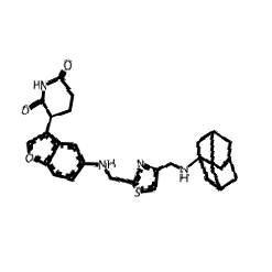 O=C1CCC(c2coc3ccc(NCc4nc(CNC56CC7CC(CC(C7)C5)C6)cs4)cc23)C(=O)N1